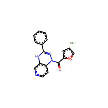 Cl.O=C(c1ccco1)N1N=C(c2ccccc2)Nc2cnccc21